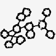 c1ccc(-c2cc(-c3ccccc3)nc(-c3ccc(-c4cc5c(cc4-c4ccc6ccccc6c4)-c4ccccc4C54c5ccccc5-c5ccccc54)c4ccccc34)n2)cc1